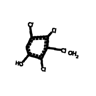 O.Oc1cc(Cl)c(Cl)c(Cl)c1Cl